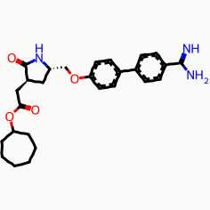 N=C(N)c1ccc(-c2ccc(OC[C@@H]3C[C@@H](CC(=O)OC4CCCCCC4)C(=O)N3)cc2)cc1